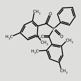 C=C(c1c(C)cc(C)cc1C)P(=O)(C(=O)c1c(C)cc(C)cc1C)c1ccccc1